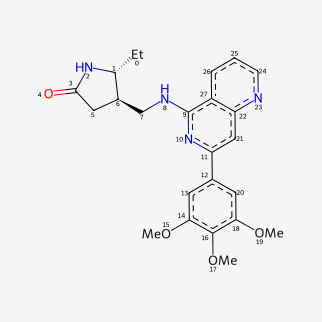 CC[C@H]1NC(=O)C[C@@H]1CNc1nc(-c2cc(OC)c(OC)c(OC)c2)cc2ncccc12